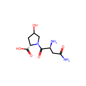 NC(=O)C[C@H](N)C(=O)N1CC(O)C[C@H]1C(=O)O